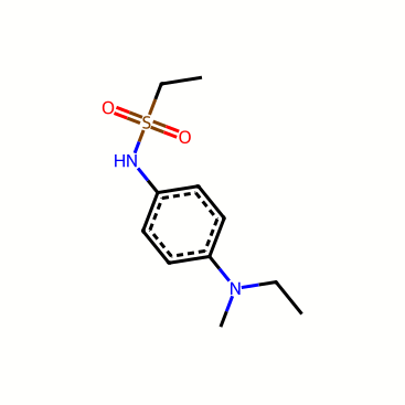 CCN(C)c1ccc(NS(=O)(=O)CC)cc1